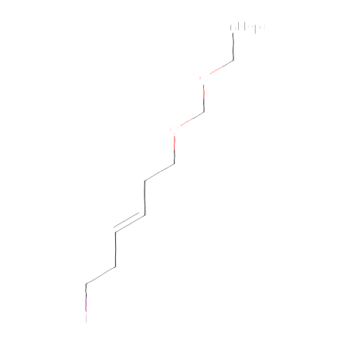 CCCCCCCCOCOCCC=CCCI